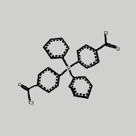 O=C(Cl)c1ccc([Si](c2ccccc2)(c2ccccc2)c2ccc(C(=O)Cl)cc2)cc1